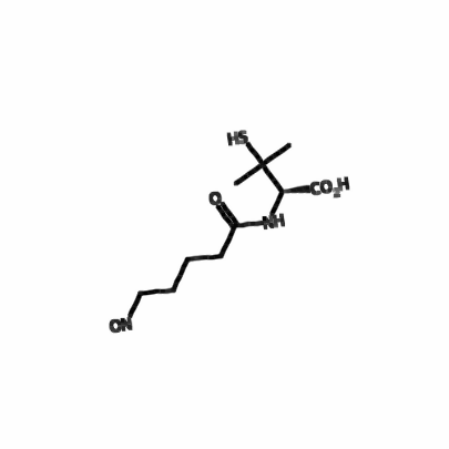 CC(C)(S)[C@H](NC(=O)CCCCN=O)C(=O)O